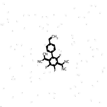 [C-]#[N+]C([N+]#[C-])=c1c(F)c(F)c(=C(C#N)C#N)c(-c2ccc(C=C)cc2)c1F